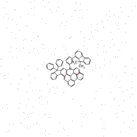 CC1(C)c2ccccc2-c2cccc(-c3cccc(N(c4ccc5c(c4)C(c4ccccc4)(c4ccccc4)c4ccccc4-5)c4ccccc4-c4cccc5cccc(-c6ccccc6)c45)c3)c21